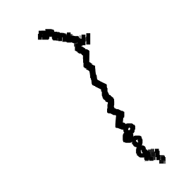 CCCCCNCCCCCCCCCCCOOOON